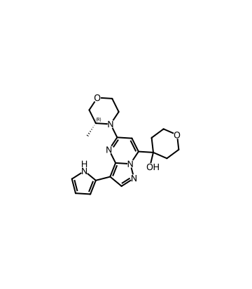 C[C@@H]1COCCN1c1cc(C2(O)CCOCC2)n2ncc(-c3ccc[nH]3)c2n1